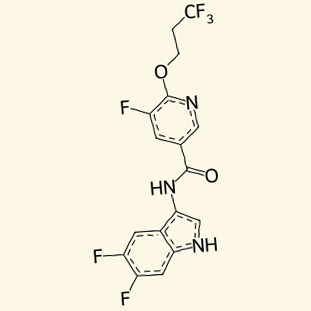 O=C(Nc1c[nH]c2cc(F)c(F)cc12)c1cnc(OCCC(F)(F)F)c(F)c1